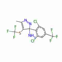 CC1=C(SC(F)(F)F)C(N)(c2c(Cl)cc(C(F)(F)F)cc2Cl)N=N1